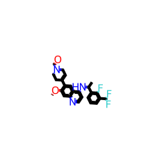 COc1cc2nccc(NC(C)c3cccc(C(F)F)c3F)c2cc1C1=CCN(C=O)CC1